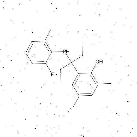 CCC(CC)(Pc1c(C)cccc1F)c1cc(C)cc(C)c1O